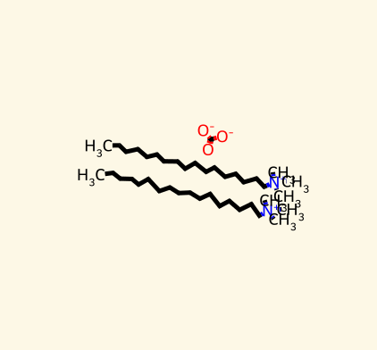 CCCCCCCCCCCCCCCCC[N+](C)(C)C.CCCCCCCCCCCCCCCCC[N+](C)(C)C.O=C([O-])[O-]